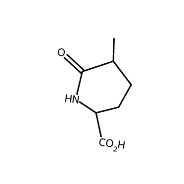 CC1CCC(C(=O)O)NC1=O